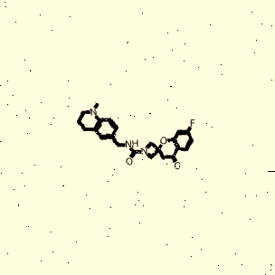 CN1CCCc2cc(CNC(=O)N3CC4(CC(=O)c5ccc(F)cc5O4)C3)ccc21